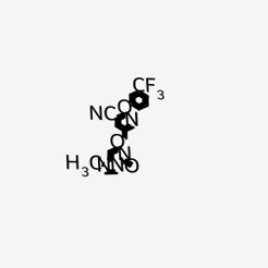 CN1CCn2c1cc(OCc1cnc(Oc3cccc(C(F)(F)F)c3)c(C#N)c1)nc2=O